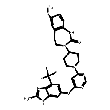 COc1ccc2c(c1)CCN(C1CCN(c3cc(Oc4cc(C(F)(F)F)c5nc(C)[nH]c5c4)ncn3)CC1)C(=O)N2